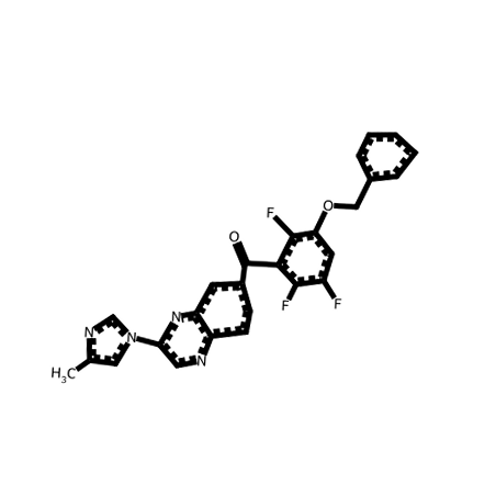 Cc1cn(-c2cnc3ccc(C(=O)c4c(F)c(F)cc(OCc5ccccc5)c4F)cc3n2)cn1